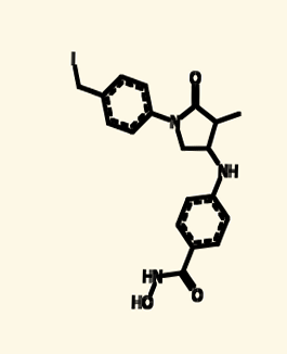 CC1C(=O)N(c2ccc(CI)cc2)CC1Nc1ccc(C(=O)NO)cc1